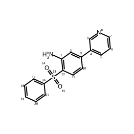 Nc1cc(-c2cccnc2)ccc1S(=O)(=O)c1ccccc1